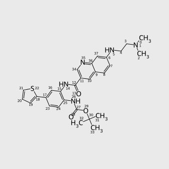 CN(C)CCNc1ccc2cc(C(=O)Nc3cc(-c4cccs4)ccc3NC(=O)OC(C)(C)C)cnc2c1